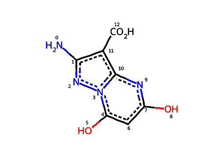 Nc1nn2c(O)cc(O)nc2c1C(=O)O